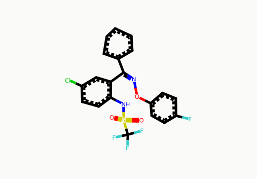 O=S(=O)(Nc1ccc(Cl)cc1/C(=N\Oc1ccc(F)cc1)c1ccccc1)C(F)(F)F